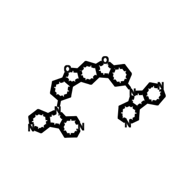 c1cc2c(cn1)c1ccncc1n2-c1ccc2oc3cc4oc5ccc(-n6c7ccncc7c7ccncc76)cc5c4cc3c2c1